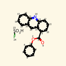 O=C(Oc1ccccc1)c1cccc2nc3ccccc3cc12.O=S(=O)(O)F